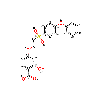 O=C(O)c1ccc(OCCS(=O)(=O)c2ccc(Oc3ccccc3)cc2)cc1O